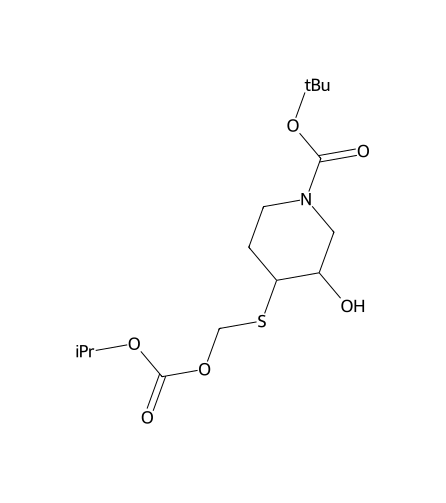 CC(C)OC(=O)OCSC1CCN(C(=O)OC(C)(C)C)CC1O